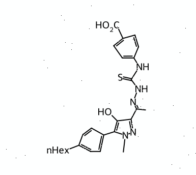 CCCCCCc1ccc(-c2c(O)c(C(C)=NNC(=S)Nc3ccc(C(=O)O)cc3)nn2C)cc1